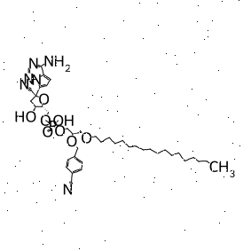 CCCCCCCCCCCCCCCCCCOC[C@H](COP(=O)(O)OC[C@H]1O[C@@](C#N)(c2ccc3c(N)ncnn23)C[C@@H]1O)OCc1ccc(C#N)cc1